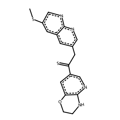 CSc1cnc2ncc(CC(=S)c3cnc4c(c3)OCCN4)cc2c1